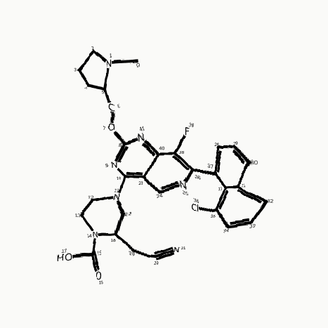 CN1CCCC1COc1nc(N2CCN(C(=O)O)C(CC#N)C2)c2cnc(-c3cccc4cccc(Cl)c34)c(F)c2n1